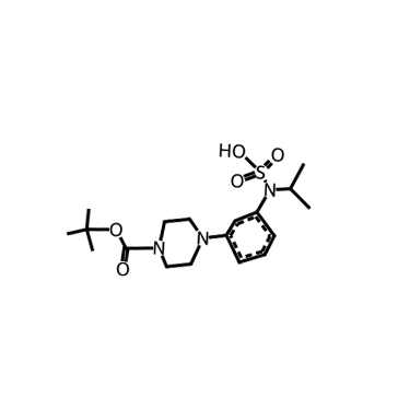 CC(C)N(c1cccc(N2CCN(C(=O)OC(C)(C)C)CC2)c1)S(=O)(=O)O